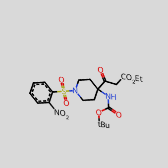 CCOC(=O)CC(=O)C1(NC(=O)OC(C)(C)C)CCN(S(=O)(=O)c2ccccc2[N+](=O)[O-])CC1